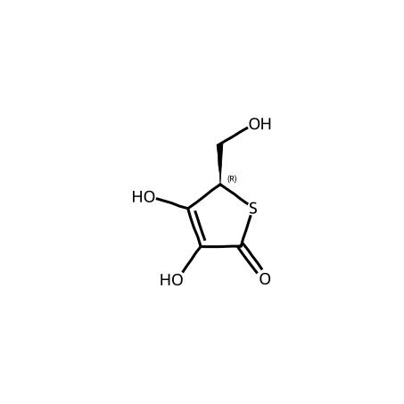 O=C1S[C@H](CO)C(O)=C1O